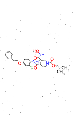 CC(C)COC(=O)N1CCC(C(=O)Nc2ccc(OCCc3ccccc3)cc2F)C(C(=O)NO)C1